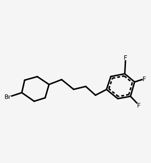 Fc1cc(CCCCC2CCC(Br)CC2)cc(F)c1F